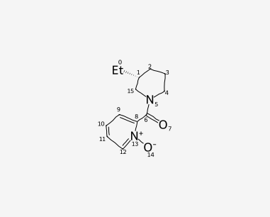 CC[C@@H]1CCCN(C(=O)c2cccc[n+]2[O-])C1